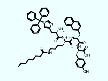 CCCCCCCC(=O)NCCCC[C@H](NC(=O)[C@@H](N)Cc1cn(C(c2ccccc2)(c2ccccc2)c2ccccc2)cn1)C(=O)N[C@H](Cc1ccc2ccccc2c1)C(=O)N[C@@H](Cc1ccc(O)cc1)C(=O)O